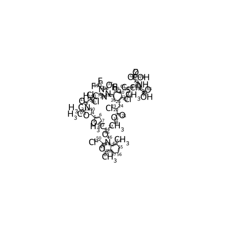 CC1(C)OC(c2ccco2)CN1C(=O)C(Cl)Cl.CCOC(=O)C(Cl)Cc1cc(-n2nc(C)n(C(F)F)c2=O)c(F)cc1Cl.CCOCN(C(=O)CCl)c1c(C)cccc1CC.C[S+](C)C.O=C(O)CNCP(=O)([O-])O